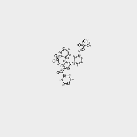 CS(=O)(=O)OCc1cccc(-n2nc(C(=O)N3CCOCC3)c3c2-c2ccccc2S(=O)(=O)C3)c1